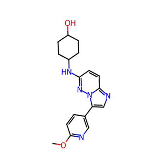 COc1ccc(-c2cnc3ccc(NC4CCC(O)CC4)nn23)cn1